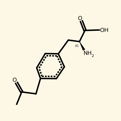 CC(=O)Cc1ccc(C[C@H](N)C(=O)O)cc1